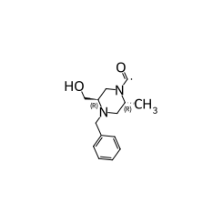 C[C@@H]1CN(Cc2ccccc2)[C@@H](CO)CN1[C]=O